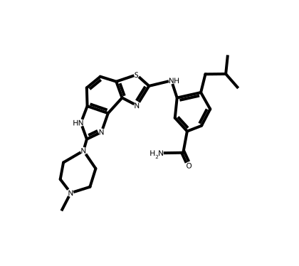 CC(C)Cc1ccc(C(N)=O)cc1Nc1nc2c(ccc3[nH]c(N4CCN(C)CC4)nc32)s1